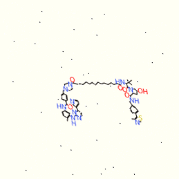 Cc1ccc(NC(=O)c2ccc(CN3CCN(C(=O)CCCCCCCCCCCCCCC(=O)NC(C(=O)N4CC(O)CC4C(=O)NCc4ccc(-c5scnc5C)cc4)C(C)(C)C)CC3)cc2)cc1Nc1nccc(-c2cccnc2)n1